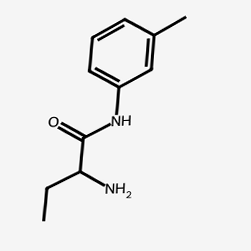 CCC(N)C(=O)Nc1cccc(C)c1